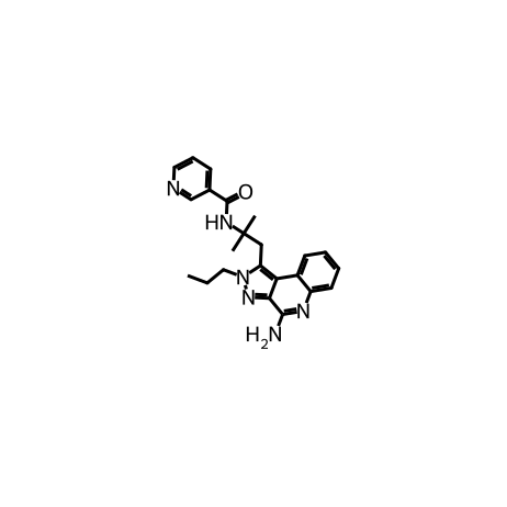 CCCn1nc2c(N)nc3ccccc3c2c1CC(C)(C)NC(=O)c1cccnc1